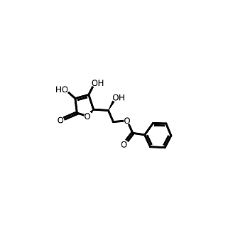 O=C1O[C@H]([C@@H](O)COC(=O)c2ccccc2)C(O)=C1O